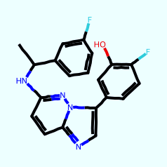 CC(Nc1ccc2ncc(-c3ccc(F)c(O)c3)n2n1)c1cccc(F)c1